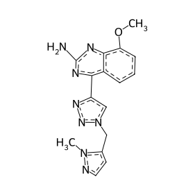 COc1cccc2c(-c3cn(Cc4ccnn4C)nn3)nc(N)nc12